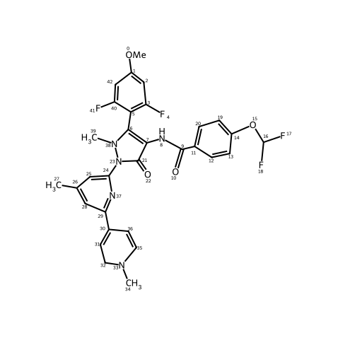 COc1cc(F)c(-c2c(NC(=O)c3ccc(OC(F)F)cc3)c(=O)n(-c3cc(C)cc(C4=CCN(C)C=C4)n3)n2C)c(F)c1